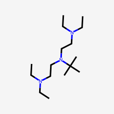 CCN(CC)CCN(CCN(CC)CC)C(C)(C)C